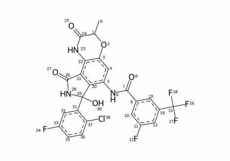 CC1Oc2cc(NC(=O)c3cc(F)cc(C(F)(F)F)c3)c3c(c2NC1=O)C(=O)NC3(O)c1cc(F)ccc1Cl